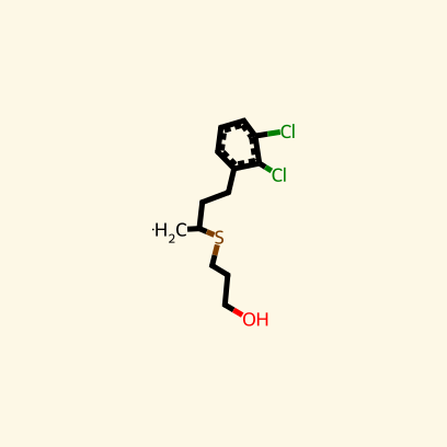 [CH2]C(CCc1cccc(Cl)c1Cl)SCCCO